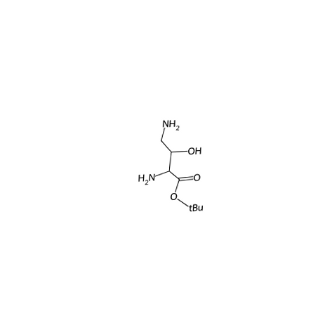 CC(C)(C)OC(=O)C(N)C(O)CN